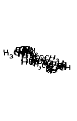 Cc1c(-c2ccc(N3CCc4cccc(C(=O)Nc5nc6ccccc6s5)c4C3)nc2C(=O)O)cnn1CC12CC3(C)CC(C)(C1)CC(OCCN(CCS(=O)(=O)O)C(=O)OCc1ccc(NC(=O)[C@H](C)NC(=O)[C@@H](N)C(C)C)cc1)(C3)C2